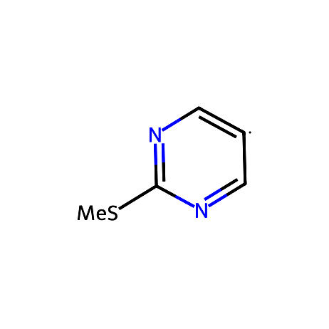 CSc1nc[c]cn1